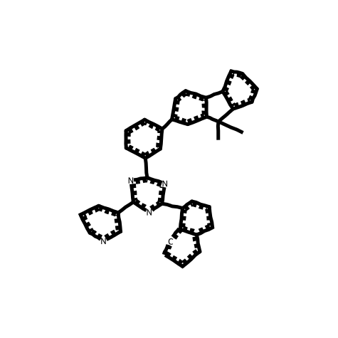 CC1(C)c2ccccc2-c2ccc(-c3cccc(-c4nc(-c5cccnc5)nc(-c5cccc6ccccc56)n4)c3)cc21